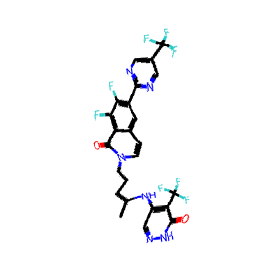 CC(CCCn1ccc2cc(-c3ncc(C(F)(F)F)cn3)c(F)c(F)c2c1=O)Nc1cn[nH]c(=O)c1C(F)(F)F